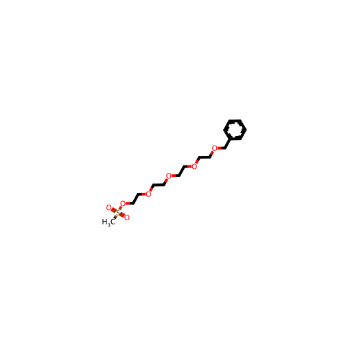 CS(=O)(=O)OCCOCCOCCOCCOCc1ccccc1